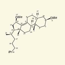 CO[C@H]1CC[C@@]2(C)[C@@H](CCC3=C4[C@H](OC)C[C@H]([C@H](C)CCCC(C)C)[C@@]4(C)CC[C@@H]32)C1